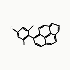 Cc1cc(F)cc(C)c1-c1ccc2ccc3cccc4ccc1c2c34